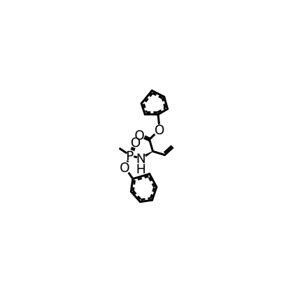 C=C[C@@H](NP(C)(=O)Oc1ccccc1)C(=O)Oc1ccccc1